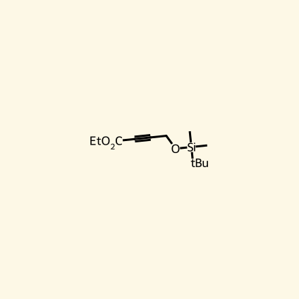 CCOC(=O)C#CCO[Si](C)(C)C(C)(C)C